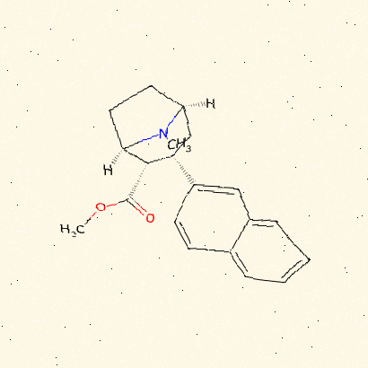 COC(=O)[C@H]1[C@@H](c2ccc3ccccc3c2)C[C@@H]2CC[C@H]1N2C